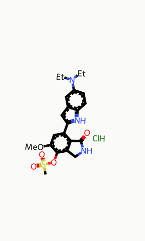 CCN(CC)c1ccc2[nH]c(-c3cc(OC)c(OS(C)(=O)=O)c4c3C(=O)NC4)cc2c1.Cl